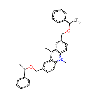 Cc1c2cc(COC(C)c3ccccc3)ccc2[n+](C)c2ccc(COC(c3ccccc3)C(F)(F)F)cc12